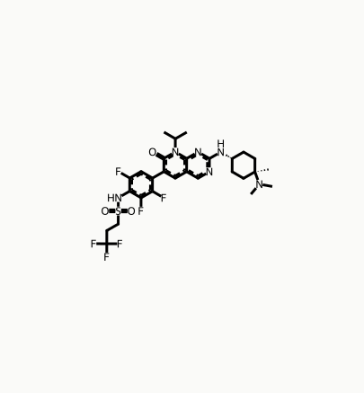 CC(C)n1c(=O)c(-c2cc(F)c(NS(=O)(=O)CCC(F)(F)F)c(F)c2F)cc2cnc(N[C@H]3CC[C@](C)(N(C)C)CC3)nc21